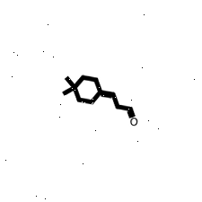 CC1(C)CCC(=CCC=O)CC1